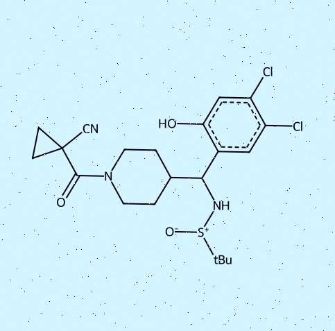 CC(C)(C)[S+]([O-])NC(c1cc(Cl)c(Cl)cc1O)C1CCN(C(=O)C2(C#N)CC2)CC1